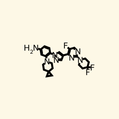 Nc1ccc(-n2cc(-c3nc(N4CCC(F)(F)CC4)ncc3F)cn2)c(N2CCC3(CC2)CC3)c1